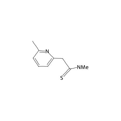 CNC(=S)Cc1cccc(C)n1